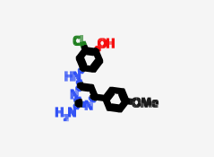 COc1ccc(-c2cc(Nc3ccc(O)c(Cl)c3)nc(N)n2)cc1